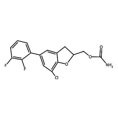 NC(=O)OCC1Cc2cc(-c3cccc(F)c3F)cc(Cl)c2O1